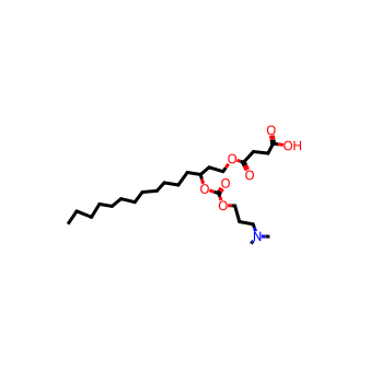 CCCCCCCCCCCCC(CCOC(=O)CCC(=O)O)OC(=O)OCCCN(C)C